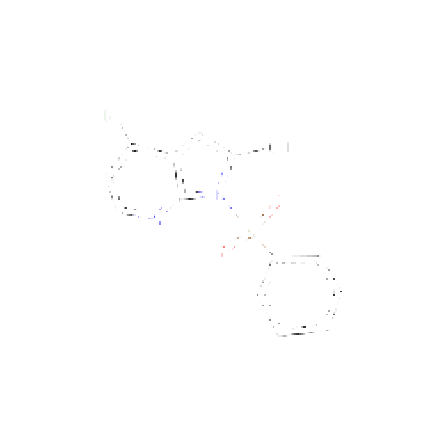 [CH2]c1cc2c(Br)ccnc2n1S(=O)(=O)c1ccccc1